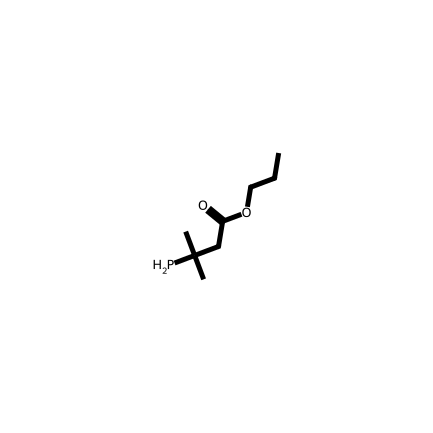 CCCOC(=O)CC(C)(C)P